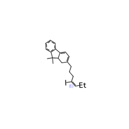 CC/C=C(/I)CCCC1=CC=C2c3ccccc3C(C)(C)C2C1